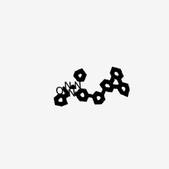 c1ccc(-n2c3cc(-c4cccc(-c5ccc6c7ccccc7c7ccccc7c6c5)c4)ccc3n3c4c(nc23)oc2ccccc24)cc1